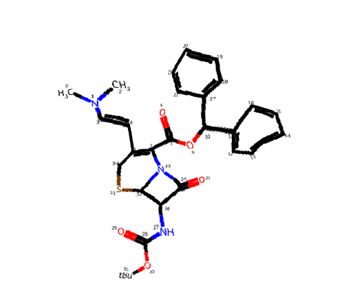 CN(C)/C=C/C1=C(C(=O)OC(c2ccccc2)c2ccccc2)N2C(=O)C(NC(=O)OC(C)(C)C)C2SC1